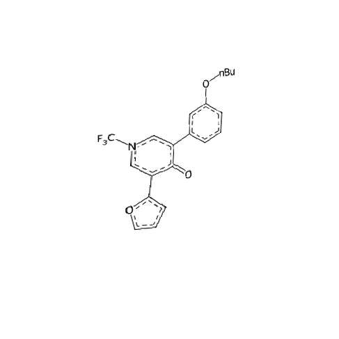 CCCCOc1cccc(-c2cn(C(F)(F)F)cc(-c3ccco3)c2=O)c1